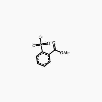 COC(=O)c1ccccc1S([O])(=O)=O